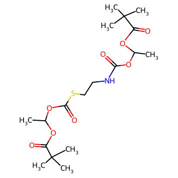 CC(OC(=O)NCCSC(=O)OC(C)OC(=O)C(C)(C)C)OC(=O)C(C)(C)C